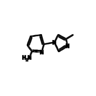 Cc1cn(-c2cccc(N)n2)cn1